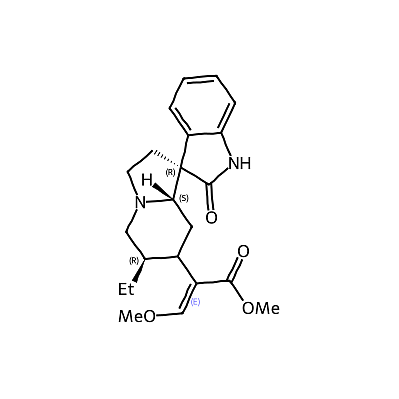 CC[C@H]1CN2CC[C@]3(C(=O)Nc4ccccc43)[C@@H]2CC1/C(=C\OC)C(=O)OC